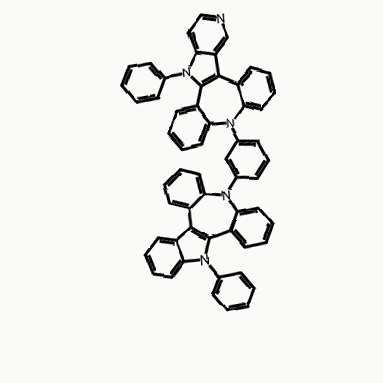 c1ccc(-n2c3c(c4ccccc42)-c2ccccc2N(c2cccc(N4c5ccccc5-c5c(n(-c6ccccc6)c6ccncc56)-c5ccccc54)c2)c2ccccc2-3)cc1